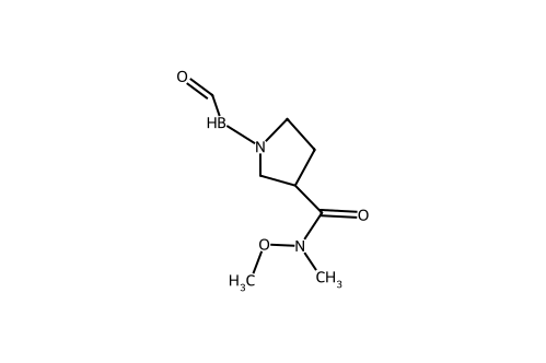 CON(C)C(=O)C1CCN(BC=O)C1